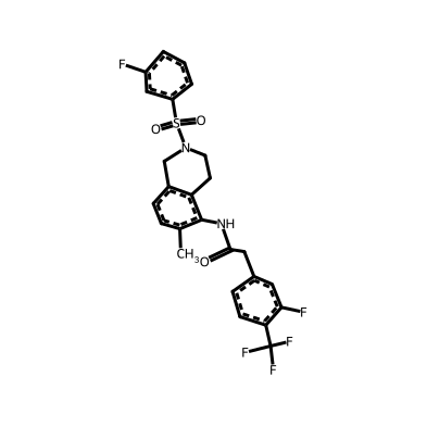 Cc1ccc2c(c1NC(=O)Cc1ccc(C(F)(F)F)c(F)c1)CCN(S(=O)(=O)c1cccc(F)c1)C2